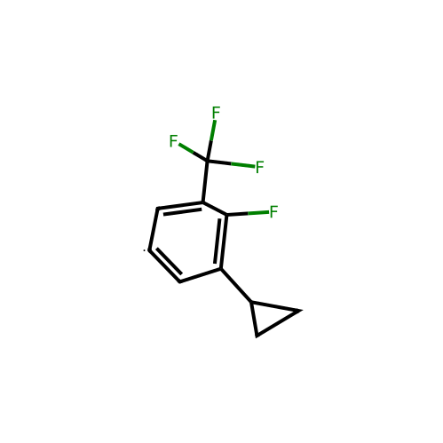 Fc1c(C2CC2)c[c]cc1C(F)(F)F